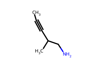 CC#CC(C)CN